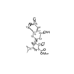 COC(=O)c1nc(C2CC2)nc(N(CCO)Cc2ccc(Cl)nc2)c1Cl